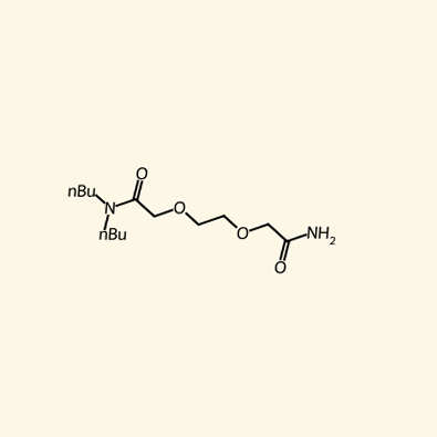 CCCCN(CCCC)C(=O)COCCOCC(N)=O